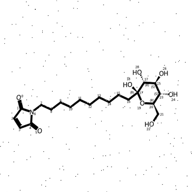 O=C1C=CC(=O)N1CCCCCCCCCC[C@@]1(O)O[C@H](CO)[C@@H](O)[C@H](O)[C@H]1O